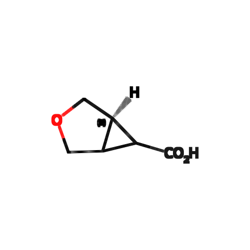 O=C(O)C1C2COC[C@H]21